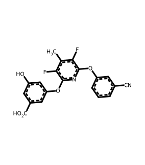 Cc1c(F)c(Oc2cccc(C#N)c2)nc(Oc2cc(O)cc(C(=O)O)c2)c1F